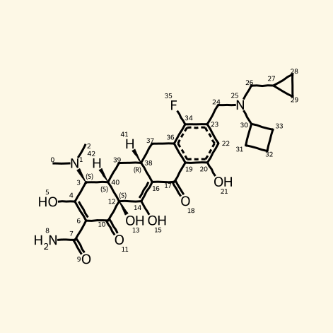 CN(C)[C@@H]1C(O)=C(C(N)=O)C(=O)[C@@]2(O)C(O)=C3C(=O)c4c(O)cc(CN(CC5CC5)C5CCC5)c(F)c4C[C@H]3C[C@@H]12